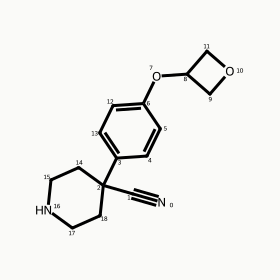 N#CC1(c2ccc(OC3COC3)cc2)CCNCC1